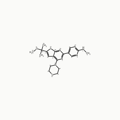 CNc1ncc(-c2nc(N3CCOCC3)c3cc(C(C)(C)OC)sc3n2)cn1